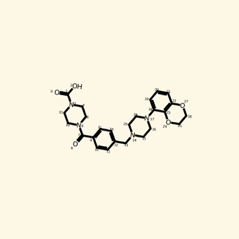 O=C(O)N1CCN(C(=O)c2ccc(CN3CCN(c4cccc5c4OCCO5)CC3)cc2)CC1